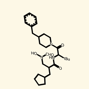 CC(C)(C)C(NC(=O)C(CC1CCCC1)CN(O)C=O)C(=O)N1CCC(Cc2ccccc2)CC1